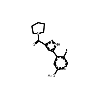 COc1cc(-c2cc(C(=O)N3CCCCC3)n[nH]2)c(F)cn1